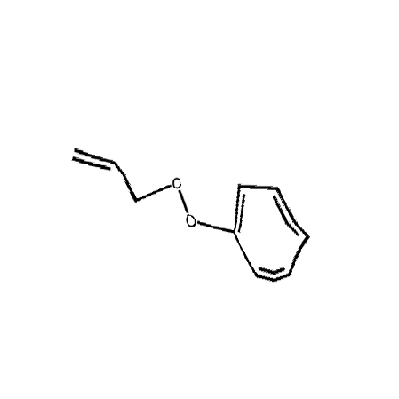 C=CCOOc1ccccc1